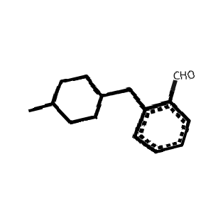 CC1CCC(Cc2ccccc2C=O)CC1